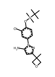 CC1(c2cc(N)n(-c3ccc(O[Si](C)(C)C(C)(C)C)c(Cl)c3)n2)COC1